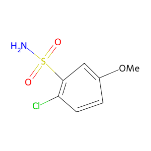 COc1ccc(Cl)c(S(N)(=O)=O)c1